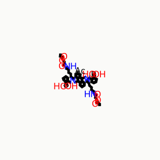 C=CC(=O)OCC(=O)NCCCCCCN(Cc1ccccc1B(O)O)Cc1c2ccccc2c(CN(CCCCCCNC(=O)COC(=O)C=C)Cc2ccccc2B(O)O)c2cc(C(C)=O)ccc12